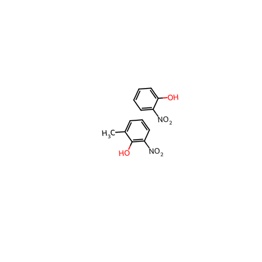 Cc1cccc([N+](=O)[O-])c1O.O=[N+]([O-])c1ccccc1O